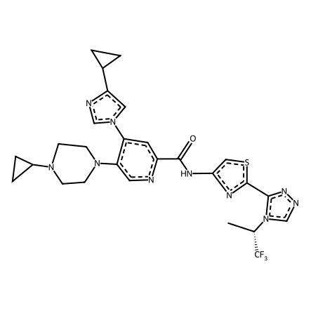 C[C@H](n1cnnc1-c1nc(NC(=O)c2cc(-n3cnc(C4CC4)c3)c(N3CCN(C4CC4)CC3)cn2)cs1)C(F)(F)F